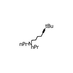 CCCN(CCC)CCCCC#CC(C)(C)C